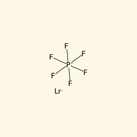 F[P-](F)(F)(F)(F)F.[Lr]